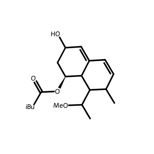 CCC(C)C(=O)O[C@H]1CC(O)C=C2C=CC(C)C(C(C)OC)C21